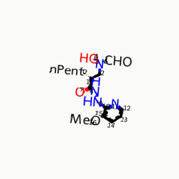 CCCCC[C@H](CN(O)C=O)C(=O)NNc1ncccc1OC